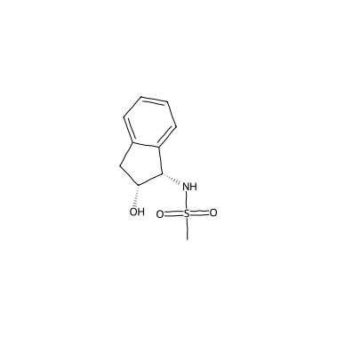 CS(=O)(=O)N[C@H]1c2ccccc2C[C@H]1O